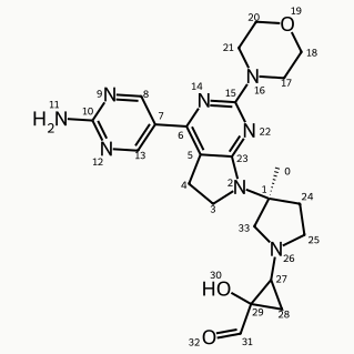 C[C@]1(N2CCc3c(-c4cnc(N)nc4)nc(N4CCOCC4)nc32)CCN(C2CC2(O)C=O)C1